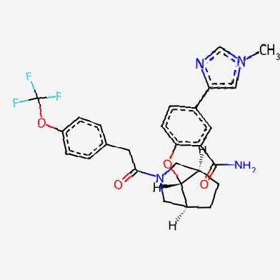 Cn1cnc(-c2ccc(O[C@@H]3[C@@H]4CC[C@H]3CN(C(=O)Cc3ccc(OC(F)(F)F)cc3)C4)c(C(N)=O)c2)c1